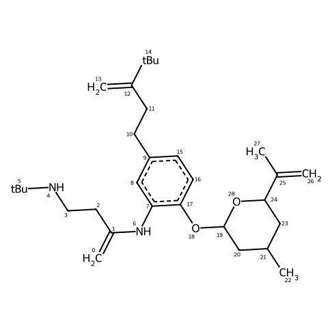 C=C(CCNC(C)(C)C)Nc1cc(CCC(=C)C(C)(C)C)ccc1OC1CC(C)CC(C(=C)C)O1